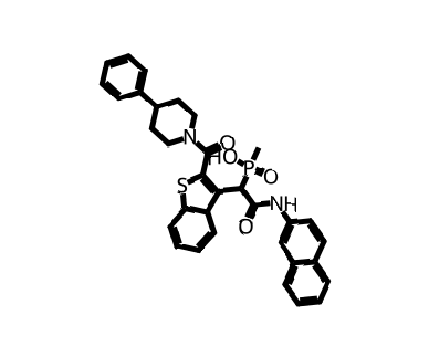 CP(=O)(O)C(C(=O)Nc1ccc2ccccc2c1)C1=C(C(=O)N2CCC(c3ccccc3)CC2)SC2C=CC=CC12